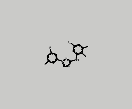 CC(=O)c1cc(C)c(C)c(Nc2ncn(-c3cc(F)cc(F)c3)n2)c1